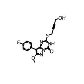 COc1nn2c(=O)[nH]c(SCC#CCO)nc2c1-c1ccc(F)cc1